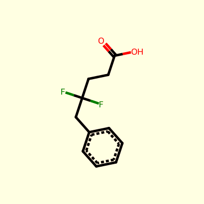 O=C(O)CCC(F)(F)Cc1ccccc1